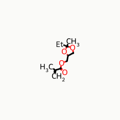 C=C(C)C(=O)OCC1COC(C)(CC)O1